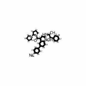 C[C@@H](Nc1cc(C(=O)N2CCCC2N2CCCC2)c2cc(-c3ccc(C#N)cc3)ccc2n1)[C@@H](O)c1ccccc1